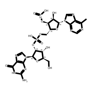 Cc1ncnc2c1ncn2[C@@H]1O[C@H](COP(=O)(O)O[C@@H]2[C@H](O)[C@@H](CO)O[C@H]2n2cnc3c(=O)[nH]c(N)nc32)[C@@H](O[PH](=O)O)[C@H]1O